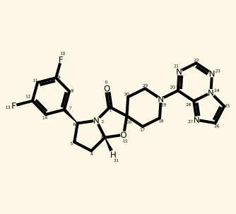 O=C1N2[C@@H](CC[C@H]2c2cc(F)cc(F)c2)OC12CCN(c1ncnn3ccnc13)CC2